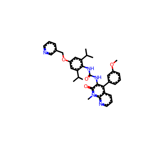 COc1cccc(-c2c(NC(=O)Nc3c(C(C)C)cc(OCc4cccnc4)cc3C(C)C)c(=O)n(C)c3ncccc23)c1